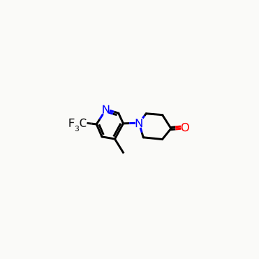 Cc1cc(C(F)(F)F)ncc1N1CCC(=O)CC1